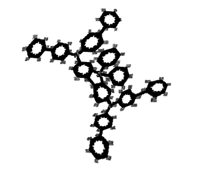 c1ccc(-c2ccc(N(c3ccc(-c4ccccc4)cc3)c3ccc4c(c3)[Si](c3ccccc3)(c3ccccc3)c3cc(N(c5ccc(-c6ccccc6)cc5)c5ccc(-c6ccccc6)cc5)ccc3-4)cc2)cc1